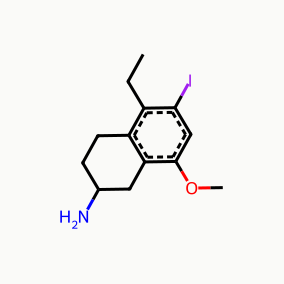 CCc1c(I)cc(OC)c2c1CCC(N)C2